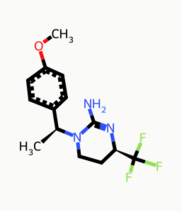 COc1ccc([C@H](C)N2CC[C@H](C(F)(F)F)N=C2N)cc1